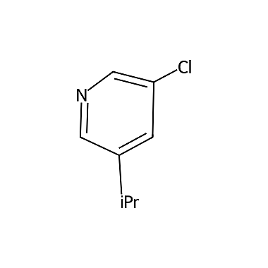 CC(C)c1cncc(Cl)c1